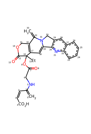 C=C(/C=C\C(=O)O)NCC(=O)OC1(CC)C(=O)OCC2=C1C=C1c3nc4ccccc4cc3CN1C2=C